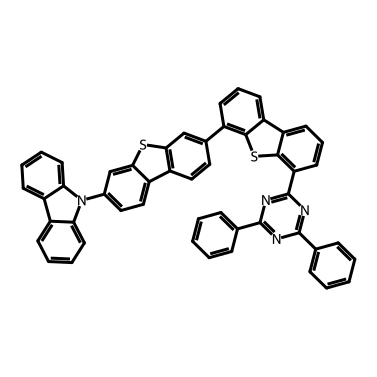 c1ccc(-c2nc(-c3ccccc3)nc(-c3cccc4c3sc3c(-c5ccc6c(c5)sc5cc(-n7c8ccccc8c8ccccc87)ccc56)cccc34)n2)cc1